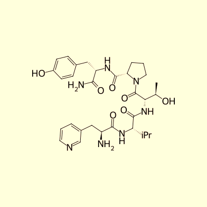 CC(C)[C@H](NC(=O)[C@@H](N)Cc1cccnc1)C(=O)N[C@H](C(=O)N1CCC[C@H]1C(=O)N[C@@H](Cc1ccc(O)cc1)C(N)=O)[C@@H](C)O